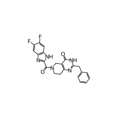 O=C(c1nc2cc(F)c(F)cc2[nH]1)N1CCc2nc(Cc3ccccc3)[nH]c(=O)c2C1